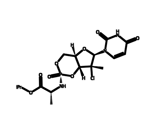 CC(C)OC(=O)[C@@H](C)N[P@]1(=O)OC[C@H]2O[C@@H](n3ccc(=O)[nH]c3=O)[C@](C)(Cl)[C@@H]2O1